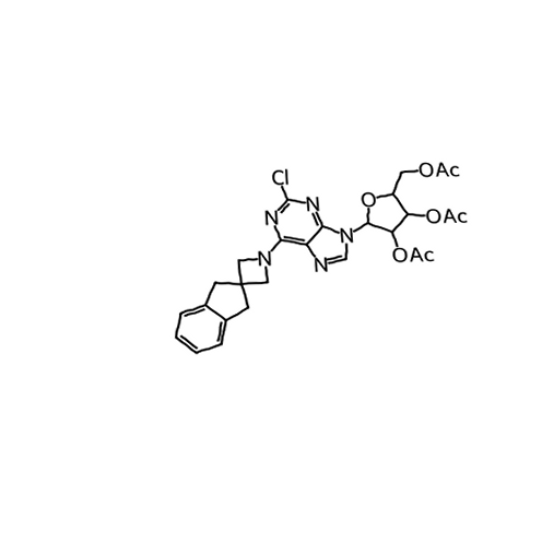 CC(=O)OCC1OC(n2cnc3c(N4CC5(Cc6ccccc6C5)C4)nc(Cl)nc32)C(OC(C)=O)C1OC(C)=O